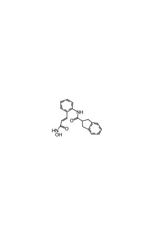 O=C(C=Cc1ccccc1NC(=O)C1Cc2ccccc2C1)NO